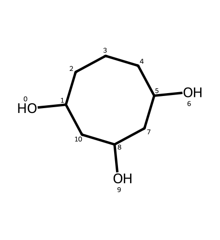 OC1CCCC(O)CC(O)C1